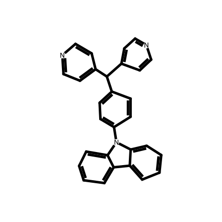 c1ccc2c(c1)c1ccccc1n2-c1ccc(C(c2ccncc2)c2ccncc2)cc1